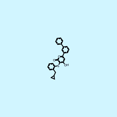 O=c1oc(-c2cccc(-c3ccccc3)c2)cc(O)c1Sc1ccccc1CC1CC1